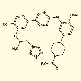 COc1ccc(C2CCN(C(=O)C(F)(F)F)CC2)cc1Nc1ncc(-c2ccc(C#N)c(OC(C)Cn3cnnn3)c2)cn1